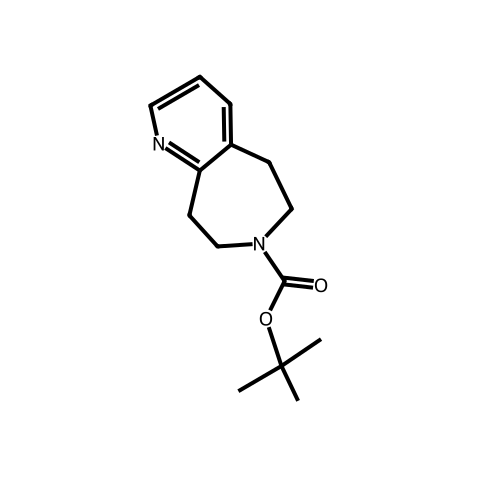 CC(C)(C)OC(=O)N1CCc2cccnc2CC1